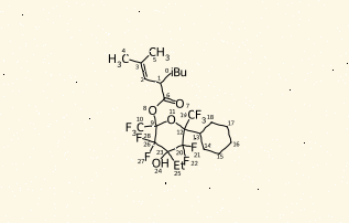 CCC(C)C(C=C(C)C)C(=O)OC1(C(F)(F)F)OC(C2CCCCC2)(C(F)(F)F)C(F)(F)C(O)(CC)C1(F)F